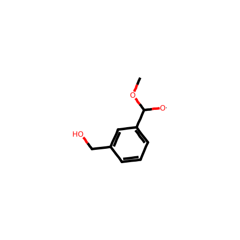 COC([O])c1cccc(CO)c1